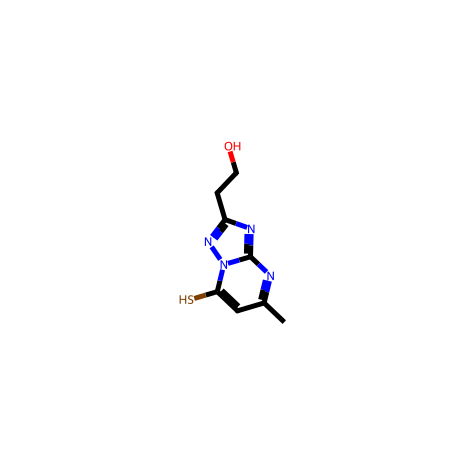 Cc1cc(S)n2nc(CCO)nc2n1